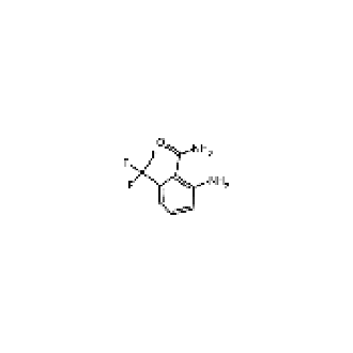 NC(=O)c1c(N)cccc1C(F)(F)F